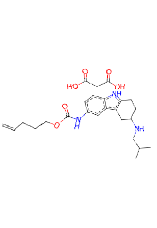 C=CCCCOC(=O)Nc1ccc2[nH]c3c(c2c1)CC(NCC(C)C)CC3.O=C(O)CC(=O)O